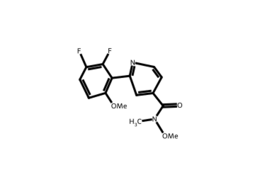 COc1ccc(F)c(F)c1-c1cc(C(=O)N(C)OC)ccn1